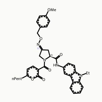 CCCCCc1ccc(C(=O)N2C/C(=N/OCc3ccc(OC)cc3)C[C@H]2C(=O)Nc2ccc3c(c2)c2ccccc2n3CC)c(=O)o1